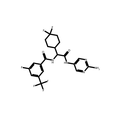 Nc1ncc(NC(=O)C(NC(=O)c2cc(F)cc(C(F)(F)F)c2)C2CCC(F)(F)CC2)cn1